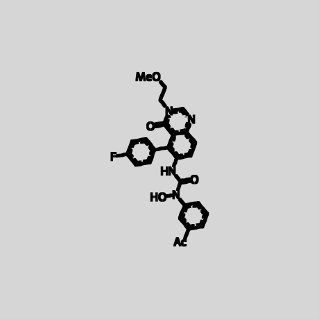 COCCn1cnc2ccc(NC(=O)N(O)c3cccc(C(C)=O)c3)c(-c3ccc(F)cc3)c2c1=O